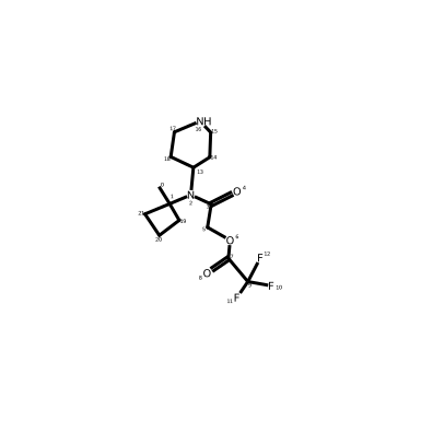 CC1(N(C(=O)COC(=O)C(F)(F)F)C2CCNCC2)CCC1